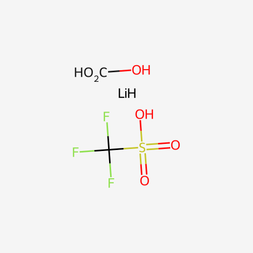 O=C(O)O.O=S(=O)(O)C(F)(F)F.[LiH]